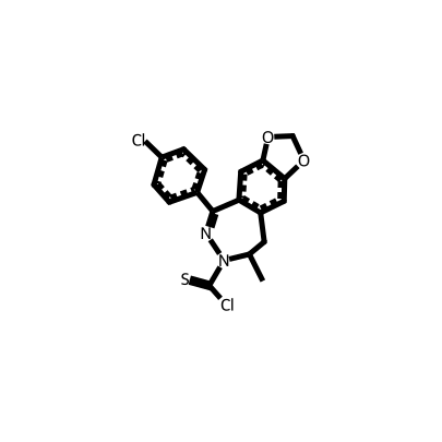 CC1Cc2cc3c(cc2C(c2ccc(Cl)cc2)=NN1C(=S)Cl)OCO3